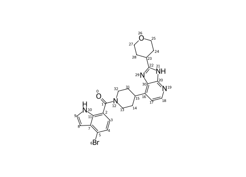 O=C(c1ccc(Br)c2cc[nH]c12)N1CCC(c2ccnc3[nH]c(C4CCOCC4)nc23)CC1